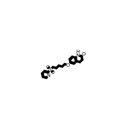 O=C1CCc2cc(OCCCCCS(=O)(=O)c3ccccn3)ccc2N1